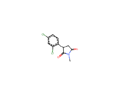 CN1C(=O)CC(c2ccc(Cl)cc2Cl)C1=O